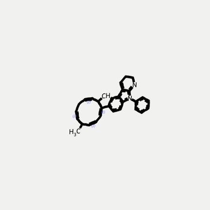 CC1/C=C\C=C(\c2ccc3c(c2)c2c(n3-c3ccccc3)=NCCC=2)C(C)/C=C\C/C=C\1